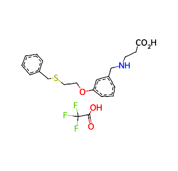 O=C(O)C(F)(F)F.O=C(O)CCNCc1cccc(OCCSCc2ccccc2)c1